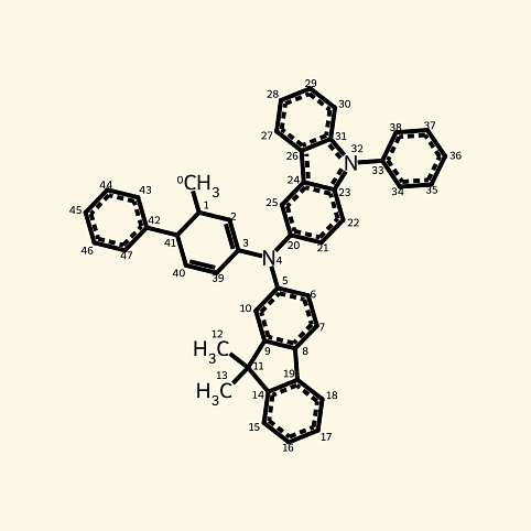 CC1C=C(N(c2ccc3c(c2)C(C)(C)c2ccccc2-3)c2ccc3c(c2)c2ccccc2n3-c2ccccc2)C=CC1c1ccccc1